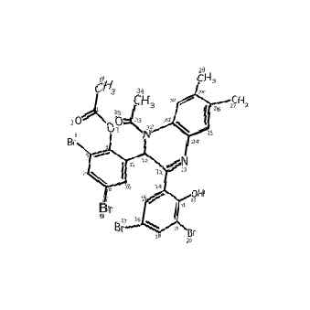 CC(=O)Oc1c(Br)cc(Br)cc1C1C(c2cc(Br)cc(Br)c2O)=Nc2cc(C)c(C)cc2N1C(C)=O